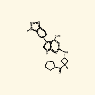 COc1nc(N[C@H]2C[C@@](C)(C(=O)N3CCCC3)C2)nc2[nH]cc(-c3ccc4nnn(C)c4c3)c12